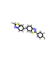 Cc1ccc(-c2nc3ccc(-c4ccc5nc(C)sc5c4)cc3s2)cc1